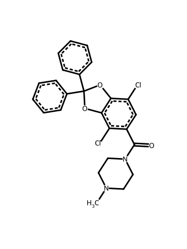 CN1CCN(C(=O)c2cc(Cl)c3c(c2Cl)OC(c2ccccc2)(c2ccccc2)O3)CC1